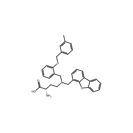 Cc1cccc(COc2ccccc2CN(CC[C@H](N)C(=O)O)Cc2cccc3c2oc2ccccc23)c1